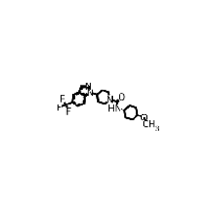 CO[C@H]1CC[C@H](NC(=O)N2CCC(n3ncc4cc(C(F)(F)F)ccc43)CC2)CC1